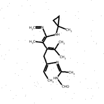 C=N/C(NC1(C)CC1)=C(\C)C(CC(=C/C)/N=C(/C)NC=O)=C(C)C